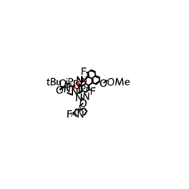 COCOc1cc(-c2c(F)c3nc(OC[C@@]45CCCN4C[C@H](F)C5)nc(N4CCN(C(=O)OC(C)(C)C)CC4)c3c3cn(C)nc23)c2c(C#C[Si](C(C)C)(C(C)C)C(C)C)c(F)ccc2c1